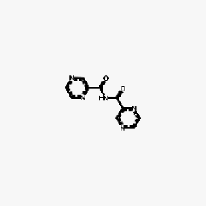 O=C(NC(=O)c1cnccn1)c1cnccn1